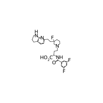 O=C(NC(CCN1CCCC(F)(CCc2ccc3c(n2)NCCC3)C1)C(=O)O)c1cc(F)cc(F)c1